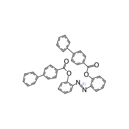 O=C(Oc1ccccc1/N=N/c1ccccc1OC(=O)c1ccc(-c2ccccc2)cc1)c1ccc(-c2ccccc2)cc1